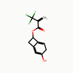 C=C(C(=O)OC1CC2=C=C(O)CC=C21)C(F)(F)F